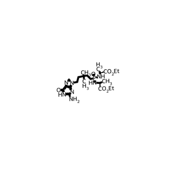 CCOC(=O)[C@H](C)NP(=O)(CCC(C)(C)CCn1cnc2c(=O)[nH]c(N)nc21)N[C@@H](C)C(=O)OCC